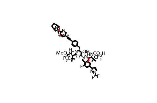 COCCN1C2CCC1CN(c1ccc(C#Cc3ccc(C[C@H](NC(=O)[C@@H](NC(=O)OC)C(C)(C)C(F)(F)F)[C@@H](O)CN(Cc4c(F)cc(-c5ccn(C(F)F)n5)cc4F)NC(=O)[C@@H](NC(=O)O)C(C)(C)C(F)(F)F)cc3)cn1)C2